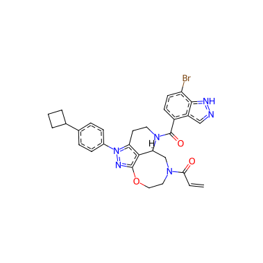 C=CC(=O)N1CCOc2nn(-c3ccc(C4CCC4)cc3)c3c2[C@H](C1)N(C(=O)c1ccc(Br)c2[nH]ncc12)CC3